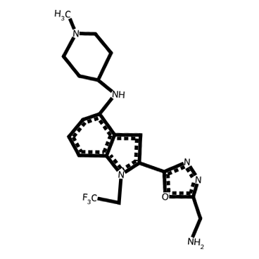 CN1CCC(Nc2cccc3c2cc(-c2nnc(CN)o2)n3CC(F)(F)F)CC1